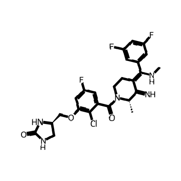 CN/C(=C1/CCN(C(=O)c2cc(F)cc(OC[C@H]3CNC(=O)N3)c2Cl)[C@@H](C)C1=N)c1cc(F)cc(F)c1